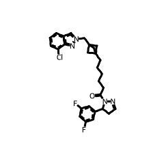 O=C(CCCCCC12CC(Cn3cc4cccc(Cl)c4n3)(C1)C2)N1N=CCC1c1cc(F)cc(F)c1